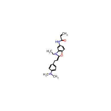 C=CC(=O)Nc1ccc2c(c1)N(CC)C(=CCc1ccc(N(C)C)cc1)O2